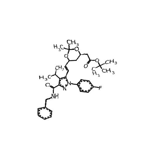 CC(C)c1c(C(=O)NCc2ccccc2)nn(-c2ccc(F)cc2)c1C=CC1C[C@H](CC(=O)OC(C)(C)C)OC(C)(C)O1